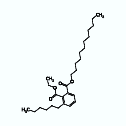 CCCCCCCCCCCCOC(=O)c1cccc(CCCCCC)c1C(=O)OCC